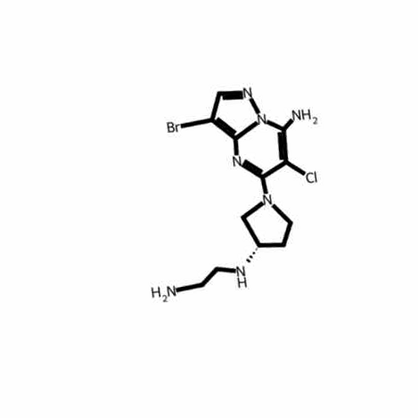 NCCN[C@H]1CCN(c2nc3c(Br)cnn3c(N)c2Cl)C1